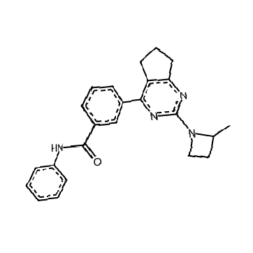 CC1CCN1c1nc2c(c(-c3cccc(C(=O)Nc4ccccc4)c3)n1)CCC2